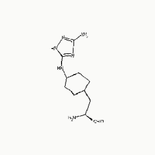 Nc1n[nH]c(NC2CCC(C[C@H](N)[C]=O)CC2)n1